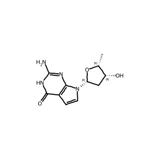 C[C@H]1O[C@@H](n2ccc3c(=O)[nH]c(N)nc32)C[C@H]1O